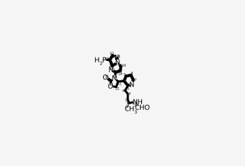 C[C@H](CCCc1ncccc1C1COC(=O)N1c1ccn2ncc(P)c2n1)NC=O